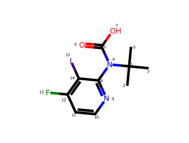 CC(C)(C)N(C(=O)O)c1nccc(F)c1I